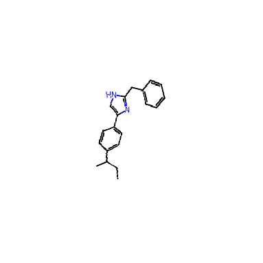 CCC(C)c1ccc(-c2c[nH]c(Cc3ccccc3)n2)cc1